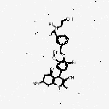 CCCC1CC(=O)C2=C(C1)NC(C)=C(C#N)C2c1cc(Br)c(OCc2cccc(C(=O)N(CC)CCO)c2)c(OCC)c1